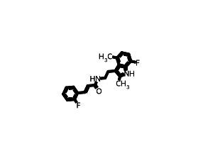 Cc1[nH]c2c(F)ccc(C)c2c1CCNC(=O)/C=C/c1ccccc1F